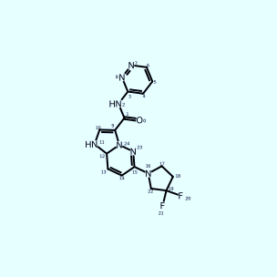 O=C(Nc1cccnn1)C1=CNC2C=CC(N3CCC(F)(F)C3)=NN12